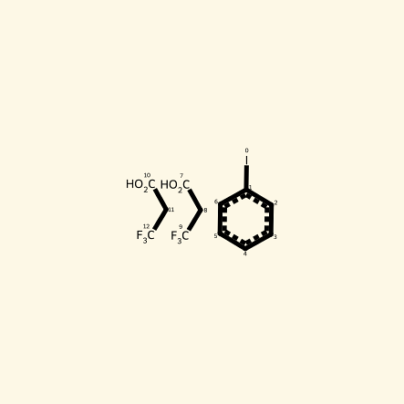 Ic1ccccc1.O=C(O)CC(F)(F)F.O=C(O)CC(F)(F)F